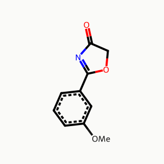 COc1cccc(C2=NC(=O)CO2)c1